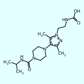 Cc1nn(CCNC(=O)O)c(C)c1N1CCN(C(=O)NC(C)C)CC1